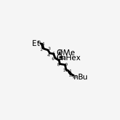 CC/C=C/CCCCCCCC/C=C/CCCC.CCCCCCOOC